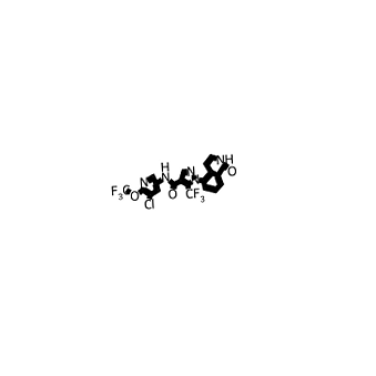 O=C(Nc1cnc(OC(F)(F)F)c(Cl)c1)c1cnn(-c2cccc3c(=O)[nH]ccc23)c1C(F)(F)F